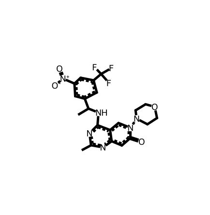 Cc1nc(NC(C)c2cc([N+](=O)[O-])cc(C(F)(F)F)c2)c2cn(N3CCOCC3)c(=O)cc2n1